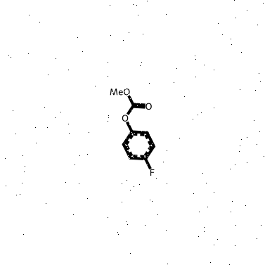 COC(=O)Oc1ccc(F)cc1